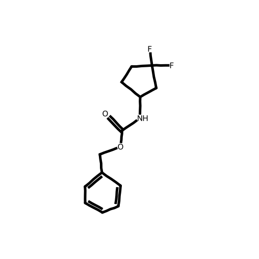 O=C(NC1CCC(F)(F)C1)OCc1ccccc1